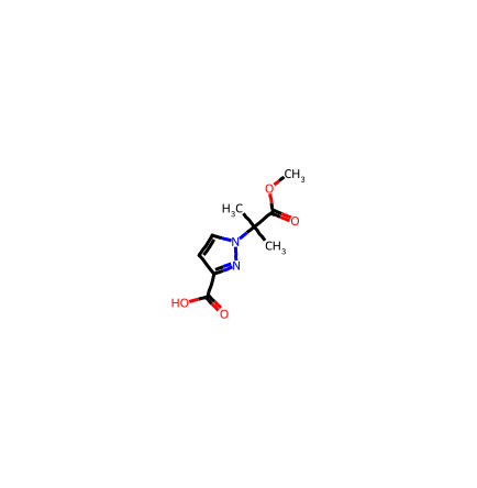 COC(=O)C(C)(C)n1ccc(C(=O)O)n1